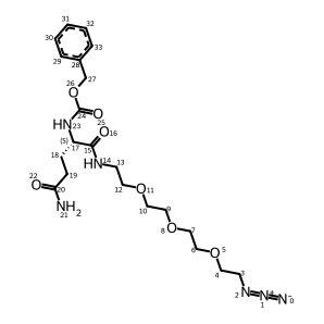 [N-]=[N+]=NCCOCCOCCOCCNC(=O)[C@H](CCC(N)=O)NC(=O)OCc1ccccc1